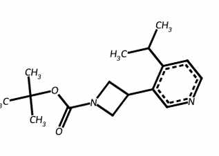 CC(C)c1ccncc1C1CN(C(=O)OC(C)(C)C)C1